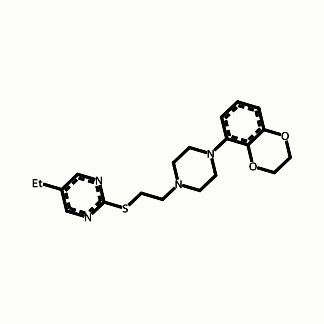 CCc1cnc(SCCN2CCN(c3cccc4c3OCCO4)CC2)nc1